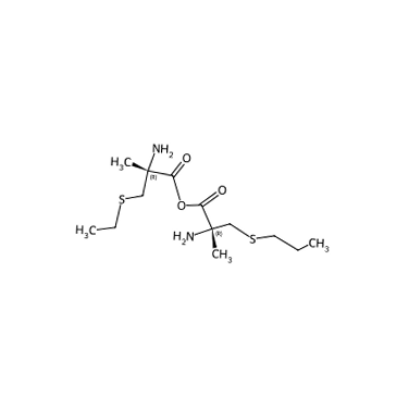 CCCSC[C@](C)(N)C(=O)OC(=O)[C@@](C)(N)CSCC